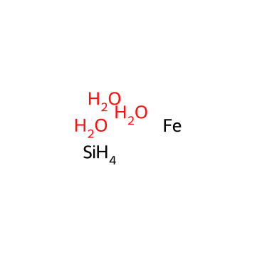 O.O.O.[Fe].[SiH4]